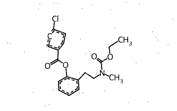 CCOC(=O)N(C)CCc1ccccc1OC(=O)c1ccc(Cl)cc1